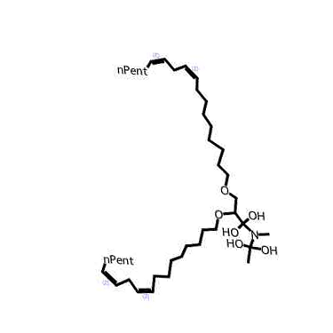 CCCCC/C=C\C/C=C\CCCCCCCCOCC(OCCCCCCCC/C=C\C/C=C\CCCCC)C(O)(O)N(C)C(C)(O)O